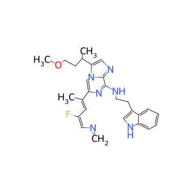 C=N/C=C(F)\C=C(/C)c1cn2c(C(C)CCOC)cnc2c(NCCc2c[nH]c3ccccc23)n1